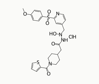 COc1ccc(S(=O)(=O)c2cc(CN(O)NC(=O)CC3CCN(C(=O)c4cccs4)CC3)ccn2)cc1.Cl